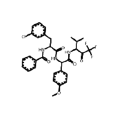 COc1ccc(C(NC(=O)C(Cc2cccc(Cl)c2)NC(=O)c2ccccc2)C(=O)NC(C(=O)C(F)(F)F)C(C)C)cc1